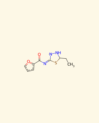 CCC1N[N]C(=NC(=O)c2ccco2)S1